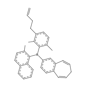 C=CCCc1ccc(C)c(B(c2ccc3c(c2)C=CCC=C3)c2c(C)ccc3ccccc23)c1C